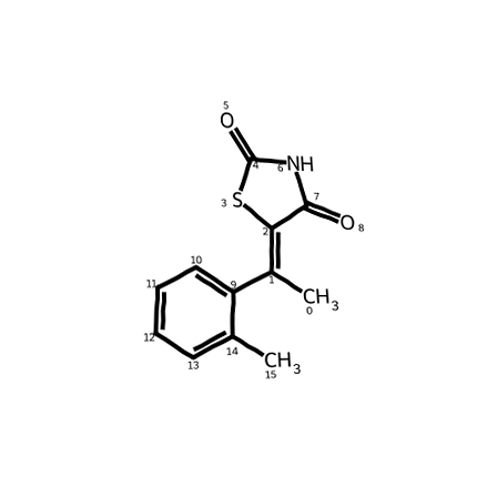 C/C(=C1/SC(=O)NC1=O)c1ccccc1C